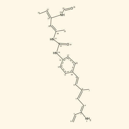 C=C\C(N)=C/C=C(C)/C=C/c1ccc(NC(=O)N/C(C)=C/C(=C\C)NC=O)cc1